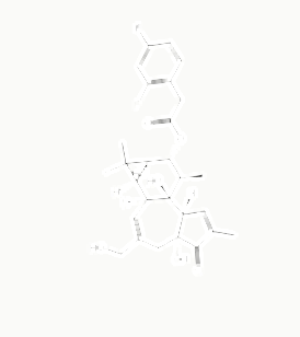 CC1=C[C@H]2[C@@]3(O)[C@H](C)[C@@H](OC(=O)Cc4ccc(F)cc4F)[C@]4(O)[C@@H]([C@@H]3C=C(CO)C[C@]2(O)C1=O)C4(C)C